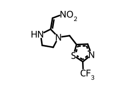 O=[N+]([O-])C=C1NCCN1Cc1cnc(C(F)(F)F)s1